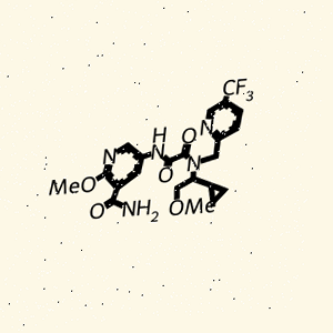 COCC(C1CC1)N(Cc1ccc(C(F)(F)F)cn1)C(=O)C(=O)Nc1cnc(OC)c(C(N)=O)c1